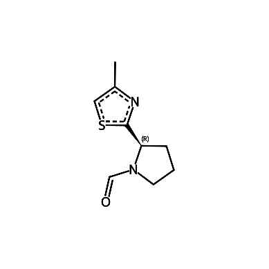 Cc1csc([C@H]2CCCN2C=O)n1